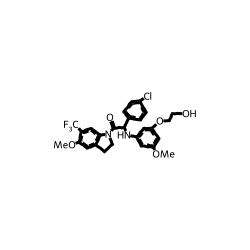 COc1cc(NC(C(=O)N2CCc3cc(OC)c(C(F)(F)F)cc32)c2ccc(Cl)cc2)cc(OCCO)c1